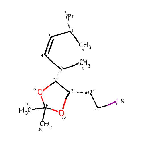 CC(C)[C@H](C)/C=C\C(C)[C@H]1OC(C)(C)O[C@H]1CCI